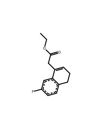 CCOC(=O)CC1=CCCc2ccc(F)cc21